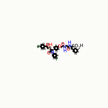 O=C(COc1ccc([C@@H]2[C@@H](SC[C@@H](O)c3ccc(F)cc3)C(=O)N2c2ccc(F)cc2)cc1)NCC(=O)N[C@H](CC1CCCCC1)C(=O)O